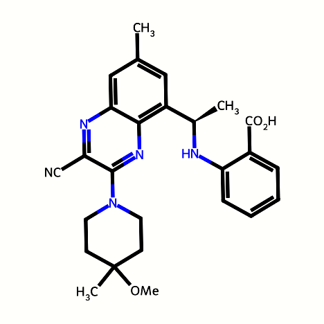 COC1(C)CCN(c2nc3c([C@@H](C)Nc4ccccc4C(=O)O)cc(C)cc3nc2C#N)CC1